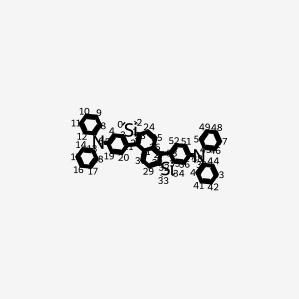 C[Si]1(C)c2cc(N(c3ccccc3)c3ccccc3)ccc2-c2c1ccc1c3c(ccc21)[Si](C)(C)c1cc(N(c2ccccc2)c2ccccc2)ccc1-3